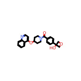 O=C(c1ccc(C2(O)COC2)cc1)N1CCC(Oc2ccnc3ccccc23)CC1